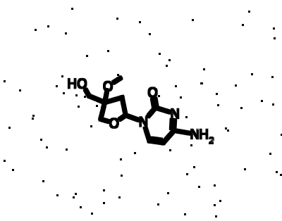 COC1(CO)COC(n2ccc(N)nc2=O)C1